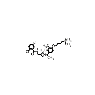 Cc1c(OCCCCN(C)C)ccc(C(C)N2CC(CNC(=O)c3cc(Cl)ccc3Cl)C2)c1C